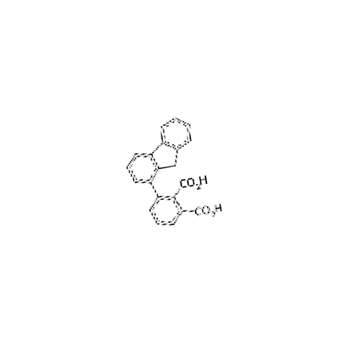 O=C(O)c1cccc(-c2cccc3c2Cc2ccccc2-3)c1C(=O)O